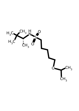 CC(C)OCCCCCS(=O)(=O)N[C@H](C)C(C)(C)C